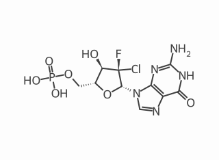 Nc1nc2c(ncn2[C@@H]2O[C@H](COP(=O)(O)O)[C@@H](O)[C@]2(F)Cl)c(=O)[nH]1